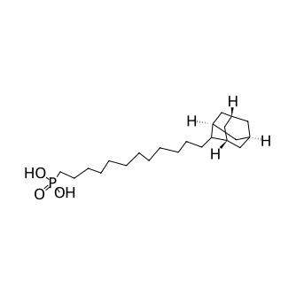 O=P(O)(O)CCCCCCCCCCCCC1[C@H]2C[C@@H]3C[C@@H](C[C@H]1C3)C2